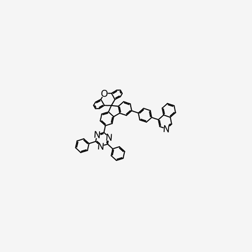 c1ccc(-c2nc(-c3ccccc3)nc(-c3ccc4c(c3)-c3cc(-c5ccc(-c6cncc7ccccc67)cc5)ccc3C43c4ccccc4Oc4ccccc43)n2)cc1